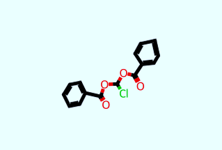 O=C(OC(Cl)OC(=O)c1ccccc1)c1ccccc1